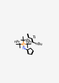 C=CC=CCCCC.CCCC(C)(C)P(=NC1=CC=CC1)(C(C)(C)CCC)C(C)(C)CCC.[Ti]